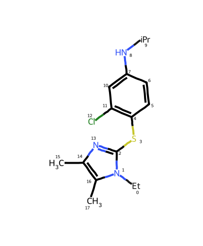 CCn1c(Sc2ccc(NC(C)C)cc2Cl)nc(C)c1C